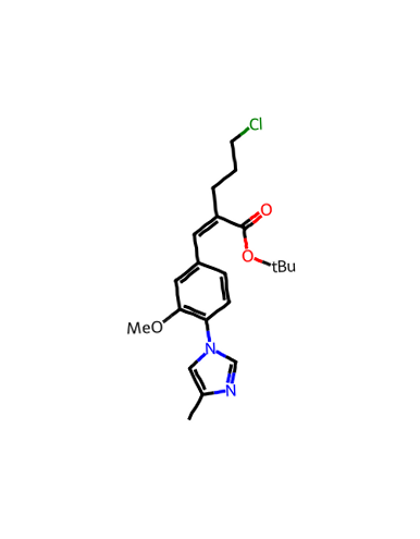 COc1cc(C=C(CCCCl)C(=O)OC(C)(C)C)ccc1-n1cnc(C)c1